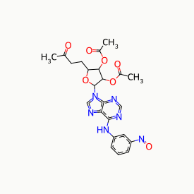 CC(=O)CCC1OC(n2cnc3c(Nc4cccc(N=O)c4)ncnc32)C(OC(C)=O)C1OC(C)=O